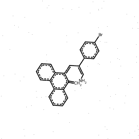 C=c1/c(=C\C(=C/N)c2ccc(Br)cc2)c2ccccc2c2ccccc12